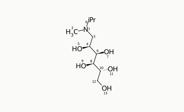 CC(C)N(C)C[C@H](O)[C@@H](O)[C@H](O)[C@H](O)CO